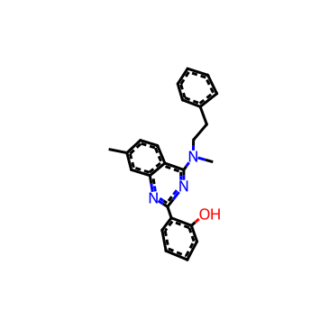 Cc1ccc2c(N(C)CCc3ccccc3)nc(-c3ccccc3O)nc2c1